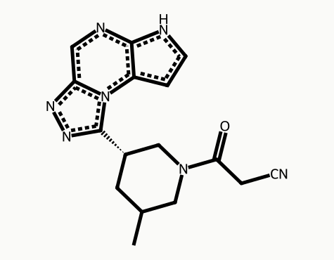 CC1C[C@H](c2nnc3cnc4[nH]ccc4n23)CN(C(=O)CC#N)C1